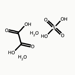 O.O.O=C(O)C(=O)O.O=S(=O)(O)O